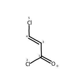 O=C(Cl)C=CCl